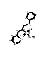 CNS(=O)(=O)C(COc1ccccc1)Cc1ccncn1